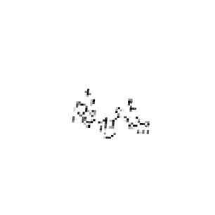 CC(F)(F)C(OC(=O)C1C2CC3CC(C2)C(C(=O)OC(CS(=O)(=O)O)C(F)(F)F)C1C3)C(F)(F)F